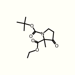 CCOC(=O)C1(C)C(=O)CCN1C(=O)OC(C)(C)C